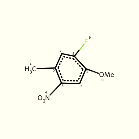 COc1cc([N+](=O)[O-])c(C)cc1F